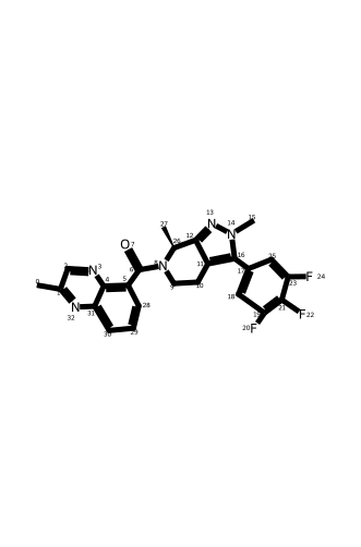 Cc1cnc2c(C(=O)N3CCc4c(nn(C)c4-c4cc(F)c(F)c(F)c4)[C@@H]3C)cccc2n1